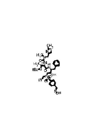 Cc1nc(CN(C)C(=O)N[C@H](C(=O)N[C@@H](Cc2ccccc2)[C@@H](O)CN(CC(C)C)S(=O)(=O)c2ccc(C=NO)cc2)[C@H](C)OC(C)(C)C)cs1